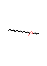 CCC/C=C/CCCCCCCC(=O)OCCCC